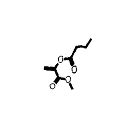 C=C(OC(=O)CCC)C(=O)OC